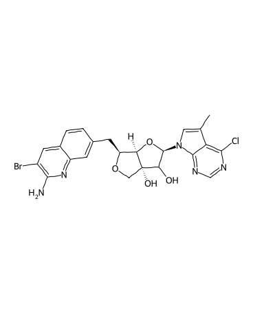 Cc1cn([C@@H]2O[C@@H]3[C@H](Cc4ccc5cc(Br)c(N)nc5c4)OC[C@]3(O)C2O)c2ncnc(Cl)c12